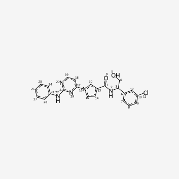 O=C(NC(CO)c1cccc(Cl)c1)c1ccn(-c2ccnc(Nc3ccccc3)n2)c1